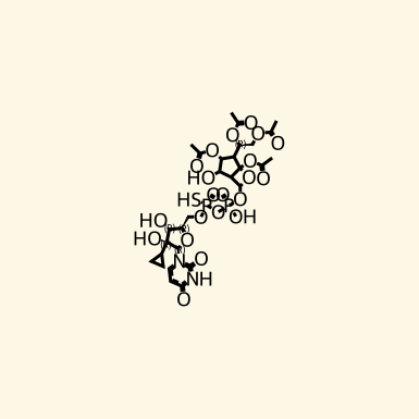 CC(=O)OC[C@H](OC(C)=O)C1C(OC(C)=O)C(O)C2C(OP(=O)(O)OP(=O)(S)OC[C@H]3O[C@@H](n4ccc(=O)[nH]c4=O)[C@@](O)(C4CC4)[C@@H]3O)OC21OC(C)=O